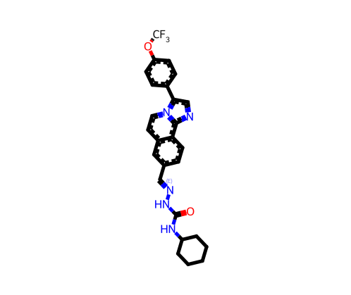 O=C(N/N=C/c1ccc2c(ccn3c(-c4ccc(OC(F)(F)F)cc4)cnc23)c1)NC1CCCCC1